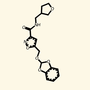 O=C(NCC1CCOC1)c1cc(COC2Oc3ccccc3O2)on1